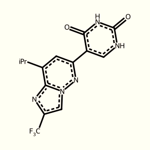 CC(C)c1cc(-c2c[nH]c(=O)[nH]c2=O)nn2cc(C(F)(F)F)nc12